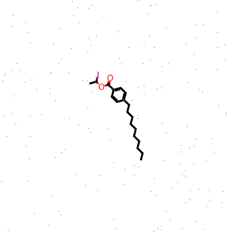 CCCCCCCCCCc1ccc(C(=O)OC(C)I)cc1